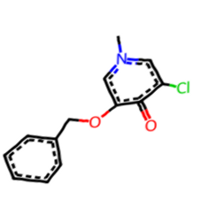 Cn1cc(Cl)c(=O)c(OCc2ccccc2)c1